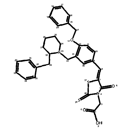 O=C(O)CN1C(=O)C(=Cc2ccc(OCc3ccccc3)c(CN3CCCCC3Cc3ccccc3)c2)SC1=S